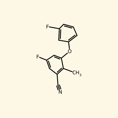 Cc1c(C#N)cc(F)cc1Oc1cccc(F)c1